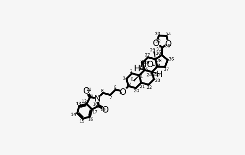 C[C@]12CCC(OCCCN3C(=O)c4ccccc4C3=O)CC1CC[C@@H]1[C@H]2CC[C@]2(C)C(C3OCCO3)CC[C@@]12O